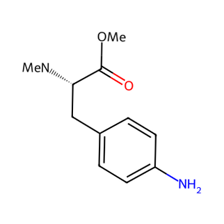 CN[C@@H](Cc1ccc(N)cc1)C(=O)OC